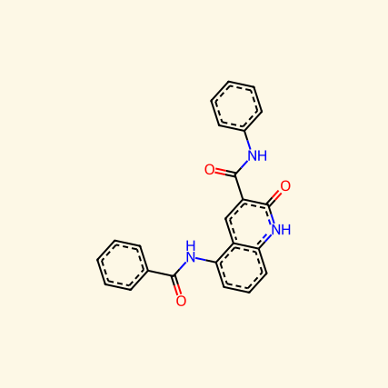 O=C(Nc1cccc2[nH]c(=O)c(C(=O)Nc3ccccc3)cc12)c1ccccc1